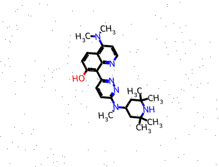 CN(C)c1ccnc2c(-c3ccc(N(C)C4CC(C)(C)NC(C)(C)C4)nn3)c(O)ccc12